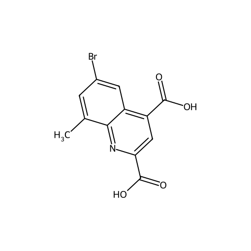 Cc1cc(Br)cc2c(C(=O)O)cc(C(=O)O)nc12